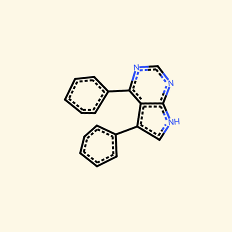 c1ccc(-c2c[nH]c3ncnc(-c4ccccc4)c23)cc1